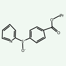 CC(C)OC(=O)c1ccc([S+]([O-])c2ccccn2)cc1